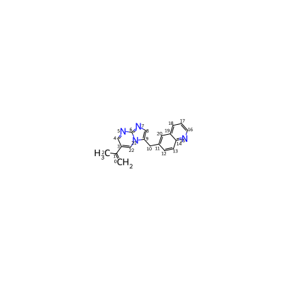 C=C(C)c1cnc2ncc(Cc3ccc4ncccc4c3)n2c1